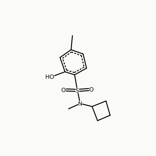 Cc1ccc(S(=O)(=O)N(C)C2CCC2)c(O)c1